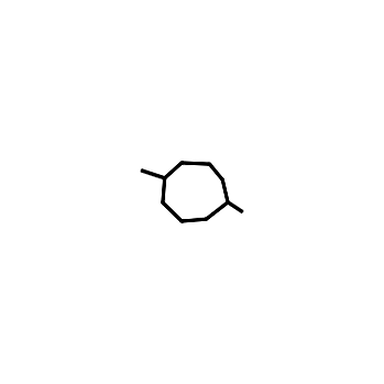 CC1CCCC(C)CCC1